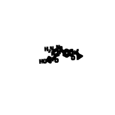 C[C@@H](C1CC1)N1Cc2cc(-c3cnc4c(N)nc(C(=O)N5CC(O)C5)cn34)ccc2C1=O